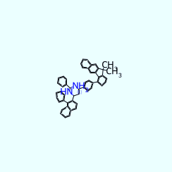 CC1(C)c2cc3ccccc3cc2-c2c(-c3ccc(/C=C/C(NC(N)c4ccccc4)c4ccc5ccccc5c4-c4ccccc4)cc3)cccc21